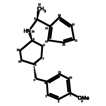 COc1ccc(C[C@H]2CC[C@H](N[C@@H](C)c3ccccc3)CC2)cc1